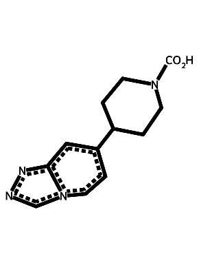 O=C(O)N1CCC(c2ccn3cnnc3c2)CC1